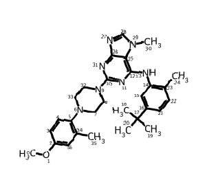 COc1ccc(N2CCN(c3nc(Nc4cc(C(C)(C)C)ccc4C)c4c(ncn4C)n3)CC2)c(C)c1